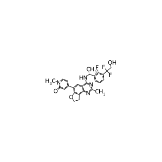 Cc1nc(N[C@H](C)c2cccc(C(F)(F)CO)c2F)c2cc(-c3ccn(C)c(=O)c3)c3c(c2n1)CCO3